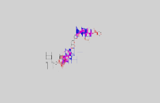 COC(=O)N[C@H](C(=O)N1CCC[C@H]1c1ncc(-c2ccc3cc(-c4ccc(-c5cnc(C6CCCN6C(=O)[C@H](NCC(=O)OCc6ccccc6)C6CCSCC6)[nH]5)cc4)ccc3c2)[nH]1)C(C)C